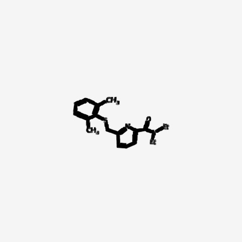 CCN(CC)C(=O)c1cccc(CSc2c(C)cccc2C)n1